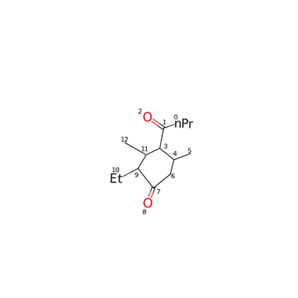 CCCC(=O)C1C(C)CC(=O)C(CC)C1C